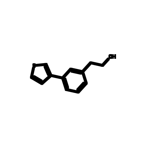 OCCc1cccc(-c2ccsc2)c1